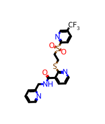 O=C(NCc1ccccn1)c1cccnc1SCCS(=O)(=O)c1ccc(C(F)(F)F)cn1